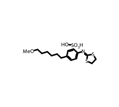 COCCCCCCc1ccc(N=C2SCCS2)cc1.O=S(=O)(O)O